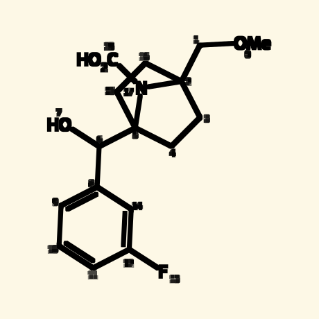 COCC12CCC(C(O)c3cccc(F)c3)(CC1)N2C(=O)O